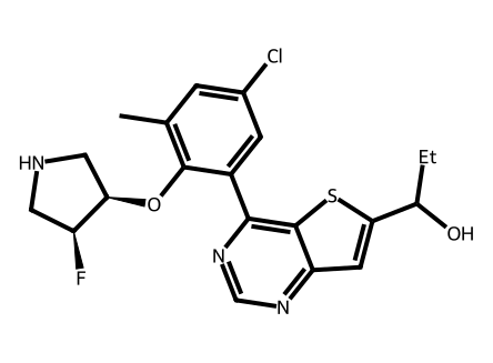 CCC(O)c1cc2ncnc(-c3cc(Cl)cc(C)c3O[C@@H]3CNC[C@@H]3F)c2s1